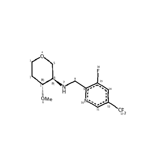 CO[C@@H]1CCOC[C@H]1NCc1ncc(C(F)(F)F)cc1F